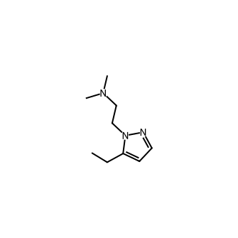 CCc1ccnn1CCN(C)C